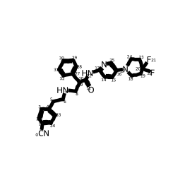 N#Cc1ccc(CCNCC(C(=O)Nc2ccc(N3CCC(F)(F)CC3)cn2)c2ccccc2)cc1